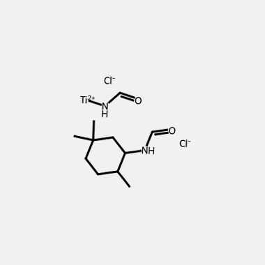 CC1CCC(C)(C)CC1NC=O.O=C[NH][Ti+2].[Cl-].[Cl-]